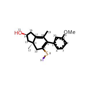 COc1cccc(C2=C(SI)C[C@@]3(C)C[C@@H](O)CC3=C2C)c1